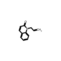 C=CCn1c(=O)[c]cc2ccccc21